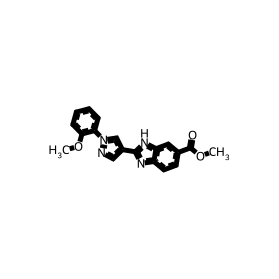 COC(=O)c1ccc2nc(-c3cnn(-c4ccccc4OC)c3)[nH]c2c1